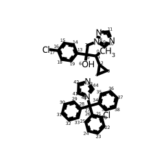 CC(C1CC1)C(O)(Cn1cncn1)c1ccc(Cl)cc1.Clc1ccccc1C(c1ccccc1)(c1ccccc1)n1ccnc1